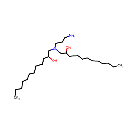 CCCCCCCCCCC(O)CN(CCCN)CC(O)CCCCCCCCCC